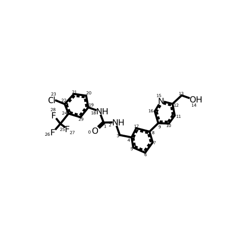 O=C(NCc1cccc(-c2ccc(CO)nc2)c1)Nc1ccc(Cl)c(C(F)(F)F)c1